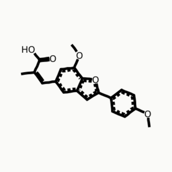 COc1ccc(-c2cc3cc(C=C(C)C(=O)O)cc(OC)c3o2)cc1